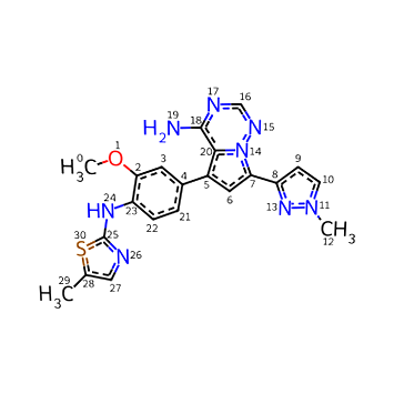 COc1cc(-c2cc(-c3ccn(C)n3)n3ncnc(N)c23)ccc1Nc1ncc(C)s1